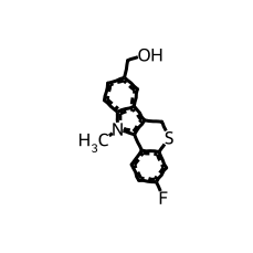 Cn1c2c(c3cc(CO)ccc31)CSc1cc(F)ccc1-2